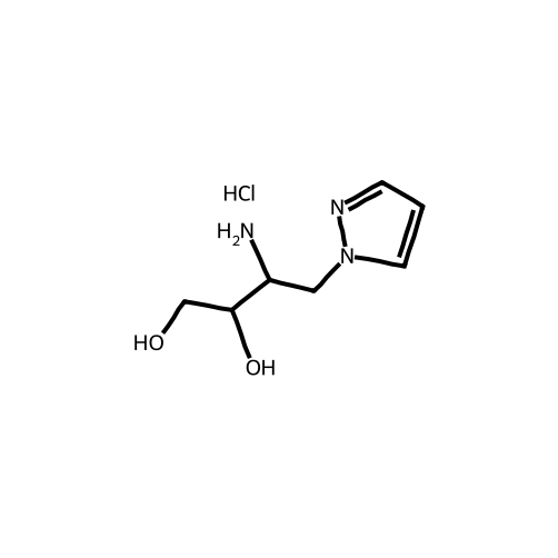 Cl.NC(Cn1cccn1)C(O)CO